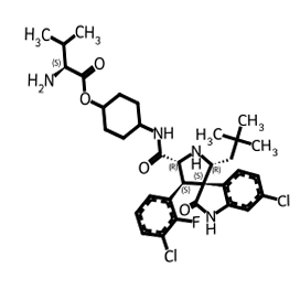 CC(C)[C@H](N)C(=O)OC1CCC(NC(=O)[C@@H]2N[C@H](CC(C)(C)C)[C@]3(C(=O)Nc4cc(Cl)ccc43)[C@H]2c2cccc(Cl)c2F)CC1